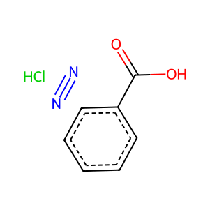 Cl.N#N.O=C(O)c1ccccc1